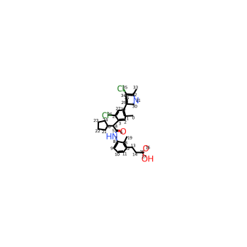 Cc1cc(C(C(=O)Nc2cccc(CCC(=O)O)c2C)C2CCCC2)c(Cl)cc1-c1cnc(C)c(Cl)c1